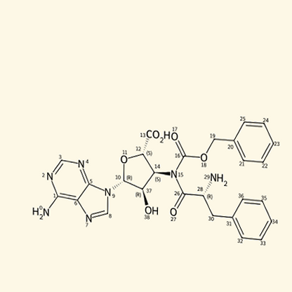 Nc1ncnc2c1ncn2[C@@H]1O[C@H](C(=O)O)[C@@H](N(C(=O)OCc2ccccc2)C(=O)[C@H](N)Cc2ccccc2)[C@H]1O